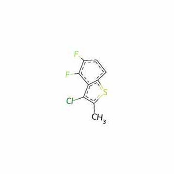 Cc1sc2ccc(F)c(F)c2c1Cl